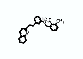 Cc1cccc(COc2cccc(CCc3ccc4ccccc4n3)c2)c1C(=O)O